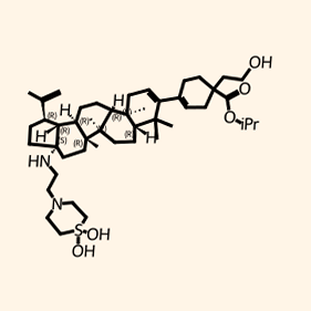 C=C(C)[C@@H]1CC[C@]2(NCCN3CCS(O)(O)CC3)CC[C@]3(C)[C@H](CC[C@@H]4[C@@]5(C)CC=C(C6=CCC(CCO)(C(=O)OC(C)C)CC6)C(C)(C)[C@@H]5CC[C@]43C)[C@@H]12